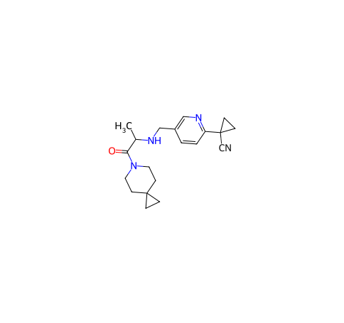 CC(NCc1ccc(C2(C#N)CC2)nc1)C(=O)N1CCC2(CC1)CC2